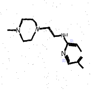 C=C(C)/C=N\C(=C/C)NCCN1CCN(C)CC1